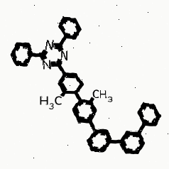 CC1=CC(c2nc(-c3ccccc3)nc(-c3ccccc3)n2)=CCC1c1ccc(-c2cccc(-c3cccc(-c4ccccc4)c3)c2)cc1C